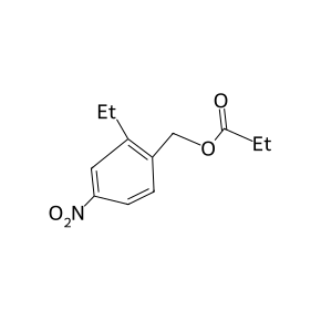 CCC(=O)OCc1ccc([N+](=O)[O-])cc1CC